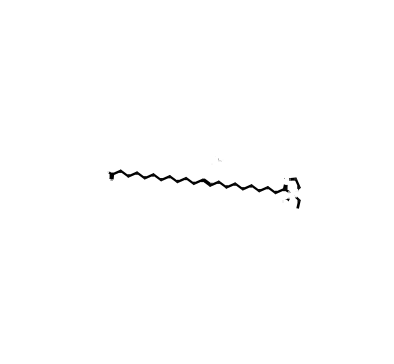 CC[N+]1(O)CCN=C1CCCCCCCCC=CCCCCCCCCCCC(=O)O.[Na].[OH-]